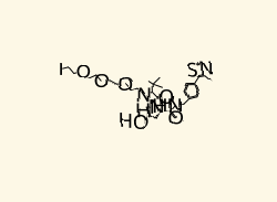 Cc1ncsc1-c1ccc(CNC(=O)[C@@H]2C[C@@H](O)CN2C(=O)[C@@H](NCCOCCOCCOCCI)C(C)(C)C)cc1